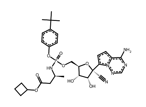 C[C@@H](CC(=O)OC1CCC1)NP(=O)(OC[C@H]1O[C@@](C#N)(c2ccc3c(N)ncnn23)[C@H](O)[C@@H]1O)Oc1ccc(C(C)(C)C)cc1